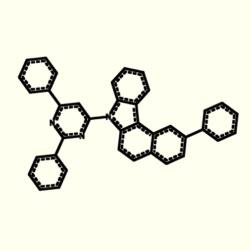 c1ccc(-c2ccc3ccc4c(c3c2)c2ccccc2n4-c2cc(-c3ccccc3)nc(-c3ccccc3)n2)cc1